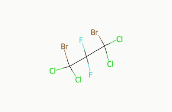 FC(F)(C(Cl)(Cl)Br)C(Cl)(Cl)Br